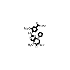 CCC[C@H]1CN(C2CCCC2)c2nc(Nc3ccc(C(=O)NC)cc3OC)ncc2N(C)C1=O